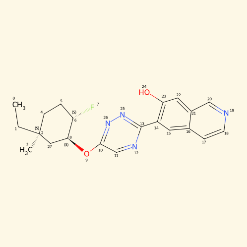 CC[C@@]1(C)CC[C@H](F)[C@@H](Oc2cnc(-c3cc4ccncc4cc3O)nn2)C1